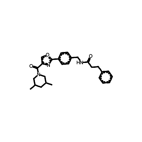 CC1CC(C)CN(C(=O)c2coc(-c3ccc(CNC(=O)CCc4ccccc4)cc3)n2)C1